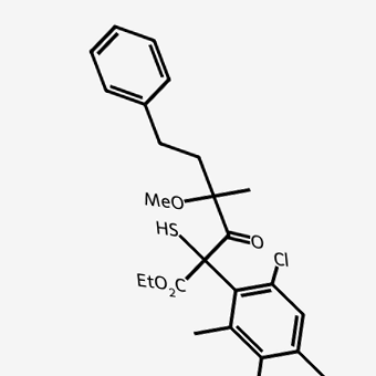 CCOC(=O)C(S)(C(=O)C(C)(CCc1ccccc1)OC)c1c(Cl)cc(C)c(C)c1C